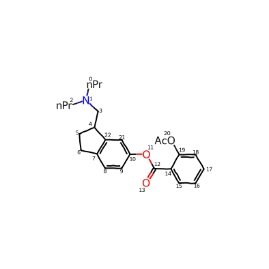 CCCN(CCC)CC1CCc2ccc(OC(=O)c3ccccc3OC(C)=O)cc21